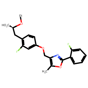 CCO[C@@H](Cc1ccc(OCc2nc(-c3ccccc3F)oc2C)cc1F)C(=O)O